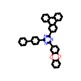 c1ccc(-c2ccc(-c3nc(-c4ccc5c(c4)Oc4ccccc4O5)nc(-c4ccc5c6ccccc6c6ccccc6c5c4)n3)cc2)cc1